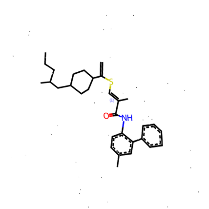 C=C(S/C=C(\C)C(=O)Nc1ccc(C)cc1-c1ccccc1)C1CCC(CC(C)CCC)CC1